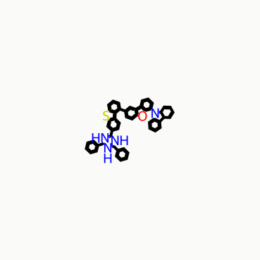 C1=CC2c3ccccc3N(c3cccc4c3oc3ccc(-c5cccc6sc7cc(C8NC(c9ccccc9)NC(c9ccccc9)N8)ccc7c56)cc34)C2C=C1